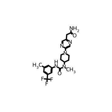 Cc1cc(NC(=O)N(C)C2CCN(c3cnc(CC(N)=O)cn3)CC2)cc(C(F)(F)F)c1